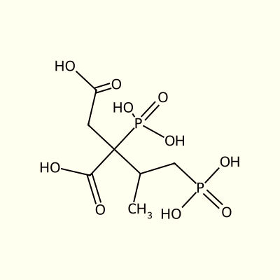 CC(CP(=O)(O)O)C(CC(=O)O)(C(=O)O)P(=O)(O)O